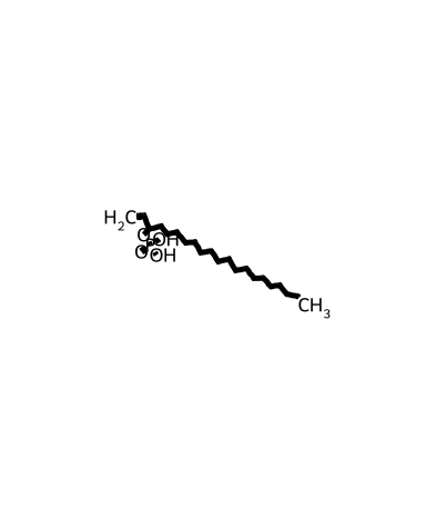 C=CC(CCCCCCCCCCCCCCCCCC)OP(=O)(O)O